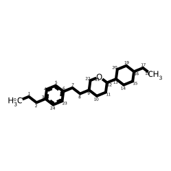 CCCc1ccc(CCC2CCC(C3CCC(CC)CC3)OC2)cc1